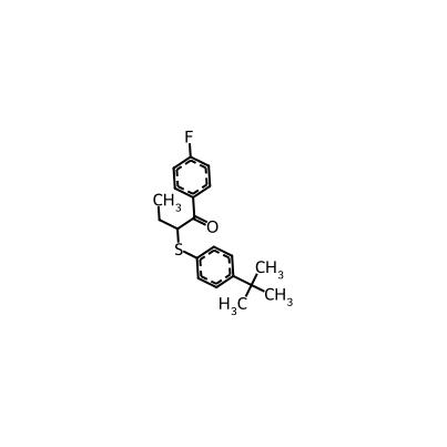 CCC(Sc1ccc(C(C)(C)C)cc1)C(=O)c1ccc(F)cc1